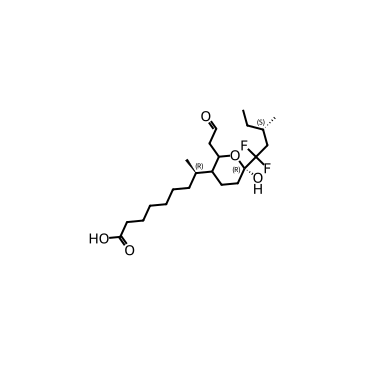 CC[C@H](C)CC(F)(F)[C@@]1(O)CCC([C@H](C)CCCCCCC(=O)O)C(CC=O)O1